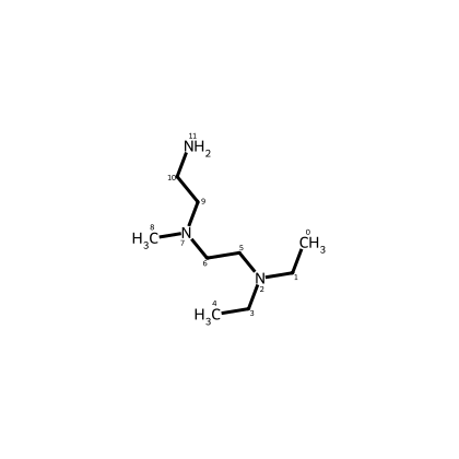 CCN(CC)CCN(C)CCN